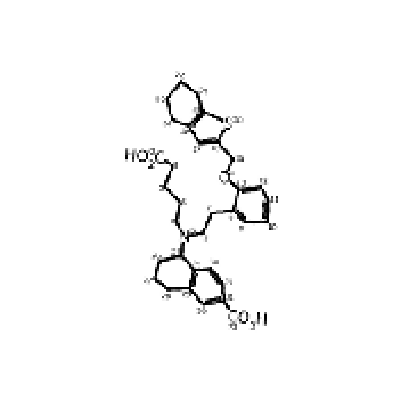 O=C(O)CCCCN(CCc1ccccc1OCc1cc2c(s1)CCCC2)C1CCCc2cc(C(=O)O)ccc21